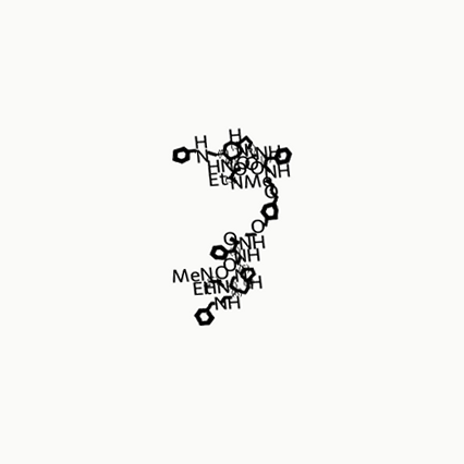 CC[C@H](NC)C(=O)N[C@@H]1C(=O)N2[C@@H](CC[C@@H]1CCNCc1ccccc1)CC[C@H]2C(=O)N[C@H](C(=O)NCCOCc1ccc(COCCNC(=O)[C@@H](NC(=O)[C@@H]2CC[C@@H]3CC[C@H](CCNCc4ccccc4)[C@H](NC(=O)[C@H](CC)NC)CN32)c2ccccc2)cc1)c1ccccc1